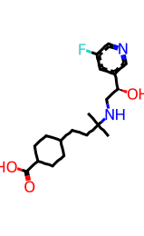 CC(C)(CCC1CCC(C(=O)O)CC1)NC[C@H](O)c1cncc(F)c1